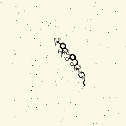 C=CCN1CCN(C2=NC(=O)/C(=C\c3ccc(OCc4ccc(C(F)(F)F)cc4C(F)(F)F)c(OC)c3)S2)CC1